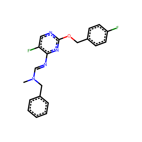 CN(/C=N/c1nc(OCc2ccc(F)cc2)ncc1F)Cc1ccccc1